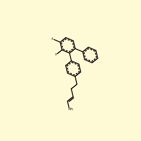 CCCC=CCCc1ccc(-c2c(-c3ccccc3)ccc(F)c2F)cc1